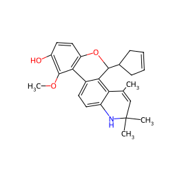 COc1c(O)ccc2c1-c1ccc3c(c1C(C1CC=CC1)O2)C(C)=CC(C)(C)N3